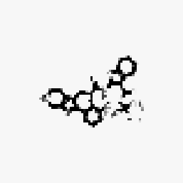 CC(C)(C)OC(=O)c1c(NC(=O)NCc2c(-c3cccc(Cl)c3)sc3c2CCNC3)sc2c1CCCC2